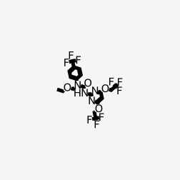 CCOCN(C(=O)Nc1nc(OCC(F)(F)F)cc(OCC(F)(F)F)n1)c1ccc(C(F)(F)F)cc1